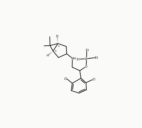 CC[Si](CC)(CC)OC(CNC1C[C@@H]2[C@H](C1)C2(C)C)c1c(Cl)cccc1Cl